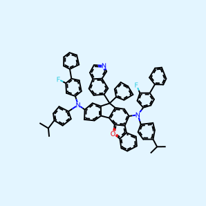 CC(C)c1ccc(N(c2ccc(-c3ccccc3)c(F)c2)c2ccc3c(c2)C(c2ccccc2)(c2ccc4ccncc4c2)c2cc(N(c4ccc(C(C)C)cc4)c4ccc(-c5ccccc5)c(F)c4)c4c(oc5ccccc54)c2-3)cc1